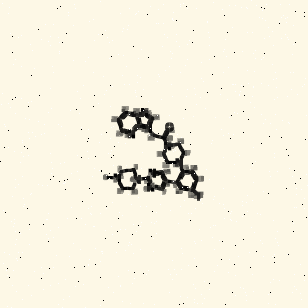 CN1CCN(c2ncc(-c3cc(F)ccc3N3CCN(C(=O)Cn4cnc5cccnc54)CC3)cn2)CC1